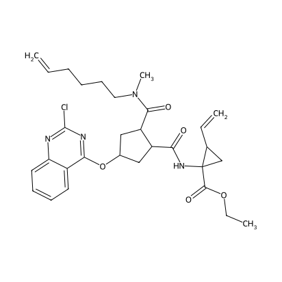 C=CCCCCN(C)C(=O)C1CC(Oc2nc(Cl)nc3ccccc23)CC1C(=O)NC1(C(=O)OCC)CC1C=C